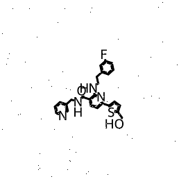 O=C(NCc1cccnc1)c1ccc(-c2ccc(CO)s2)nc1NCCc1cccc(F)c1